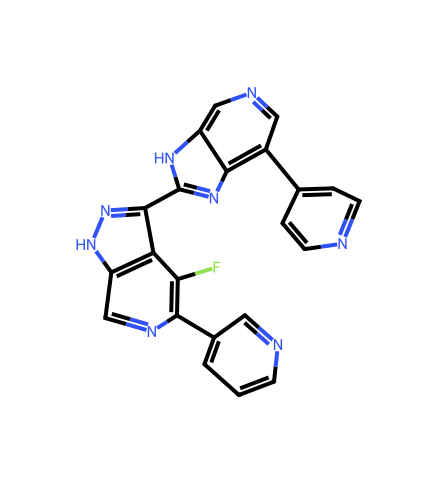 Fc1c(-c2cccnc2)ncc2[nH]nc(-c3nc4c(-c5ccncc5)cncc4[nH]3)c12